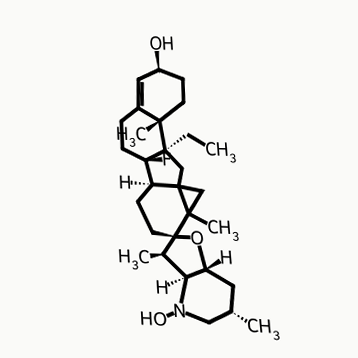 CC[C@]12CC34CC3(C)[C@]3(CC[C@H]4[C@]1(F)CCC1=C[C@@H](O)CC[C@@]12C)O[C@@H]1C[C@H](C)CN(O)[C@H]1[C@H]3C